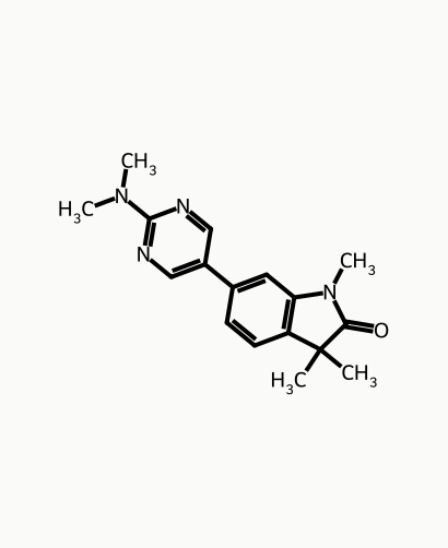 CN(C)c1ncc(-c2ccc3c(c2)N(C)C(=O)C3(C)C)cn1